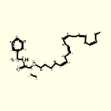 CC/C=C\C/C=C\C/C=C\C/C=C\C/C=C\CCCCO[C@H](CC)C(=O)N[C@H](C)c1ccccc1